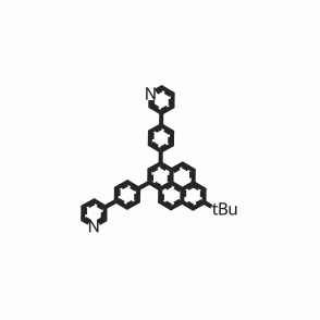 CC(C)(C)c1cc2ccc3c(-c4ccc(-c5cccnc5)cc4)cc(-c4ccc(-c5cccnc5)cc4)c4ccc(c1)c2c34